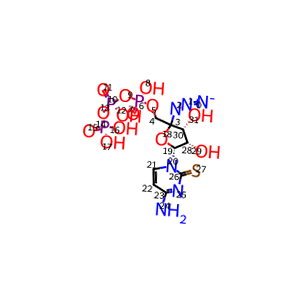 [N-]=[N+]=NC1(COP(=O)(O)OP(=O)(O)OP(=O)(O)O)O[C@@H](n2ccc(N)nc2=S)[C@@H](O)[C@H]1O